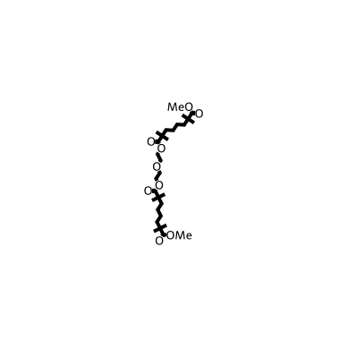 COC(=O)C(C)(C)CCCCC(C)(C)C(=O)OCCOCCOC(=O)C(C)(C)CCCCC(C)(C)C(=O)OC